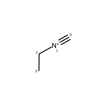 C#[N+]CC